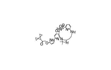 CC1(C)C[C@@H]2CCCNc3cccc(n3)S(=O)(=O)NC(=O)c3ccc(-n4ccc(OCC(=O)C5C6(CC6)C56CC6)n4)nc3N1C2